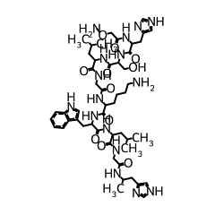 CC(C)CC(NC(=O)C(CO)NC(=O)C(Cc1c[nH]cn1)NC(=O)CON)C(=O)NCC(=O)NC(CCCCN)C(=O)NC(Cc1c[nH]c2ccccc12)C(=O)NC(CC(C)C)C(=O)NCC(=O)NC(C)Cc1c[nH]cn1